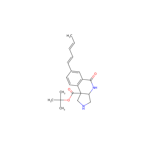 CC=CC=Cc1ccc2c(c1)C(=O)NC1CNCC21C(=O)OC(C)(C)C